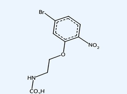 O=C(O)NCCOc1cc(Br)ccc1[N+](=O)[O-]